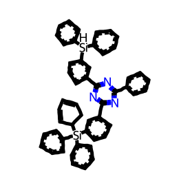 C1=CCC([Si](c2ccccc2)(c2ccccc2)c2cccc(-c3nc(-c4ccccc4)nc(-c4cccc([SiH](c5ccccc5)c5ccccc5)c4)n3)c2)C=C1